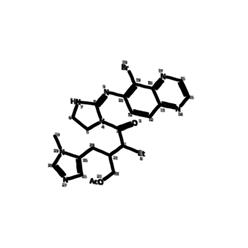 CCC(C(=O)N1CCN/C1=N/c1ccc2nccnc2c1Br)C(COC(C)=O)Cc1cncn1C